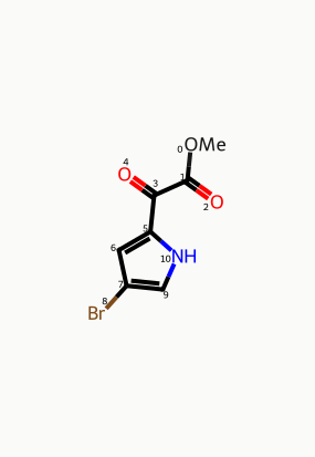 COC(=O)C(=O)c1cc(Br)c[nH]1